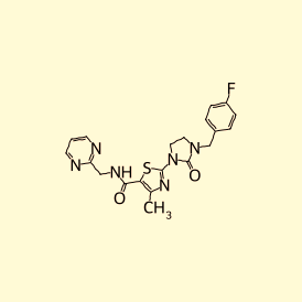 Cc1nc(N2CCN(Cc3ccc(F)cc3)C2=O)sc1C(=O)NCc1ncccn1